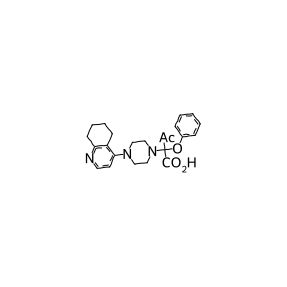 CC(=O)C(Oc1ccccc1)(C(=O)O)N1CCN(c2ccnc3c2CCCC3)CC1